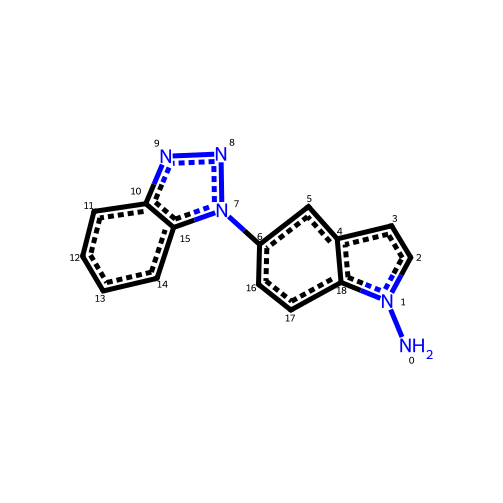 Nn1ccc2cc(-n3nnc4ccccc43)ccc21